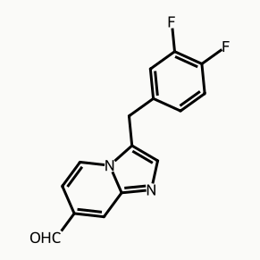 O=Cc1ccn2c(Cc3ccc(F)c(F)c3)cnc2c1